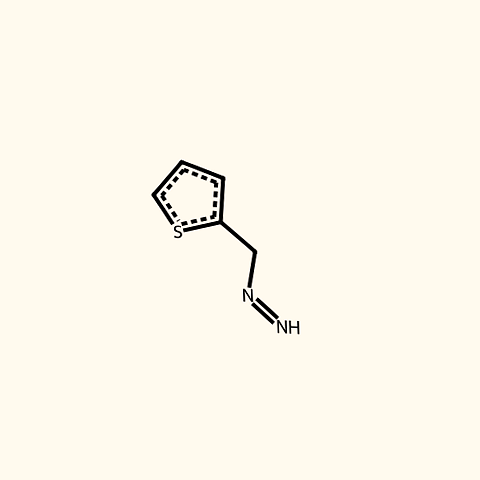 N=NCc1cccs1